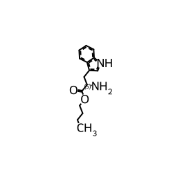 CCCCOC(=O)[C@@H](N)Cc1c[nH]c2ccccc12